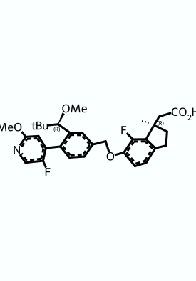 COc1cc(-c2ccc(COc3ccc4c(c3F)[C@@](C)(CC(=O)O)CC4)cc2[C@H](OC)C(C)(C)C)c(F)cn1